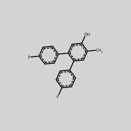 Cc1cc(-c2ccc(F)cc2)c(-c2ccc(F)cc2)cc1O